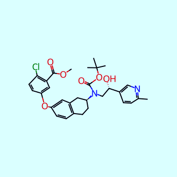 COC(=O)c1cc(Oc2ccc3c(c2)C[C@@H](N(C[C@H](O)c2ccc(C)nc2)C(=O)OC(C)(C)C)CC3)ccc1Cl